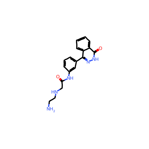 NCCNCC(=O)Nc1cccc(-c2n[nH]c(=O)c3ccccc23)c1